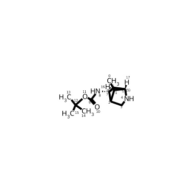 C[C@@H]1C2CN[C@H]1C[C@H]2NC(=O)OC(C)(C)C